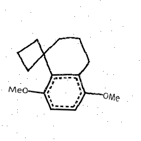 COc1ccc(OC)c2c1CCCC21CCC1